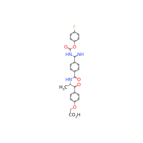 CC(NC(=O)c1ccc(C(=N)NC(=O)Oc2ccc(F)cc2)cc1)C(=O)c1ccc(OCC(=O)O)cc1